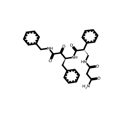 NC(=O)CC(=O)NC[C@H](C(=O)N[C@@H](Cc1ccccc1)C(=O)C(=O)NCc1ccccc1)c1ccccc1